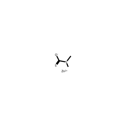 C[S-](C)C([O-])=S.[Zn+2]